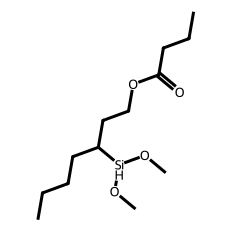 CCCCC(CCOC(=O)CCC)[SiH](OC)OC